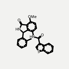 COc1ccc(NC(=O)c2csc3ccccc23)c2c1C(=O)NC2c1ccccc1C